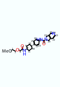 COCCOCC(=O)N[C@H]1CC[C@H](c2ccc(NC(=O)N3Cc4ccncc4C3)cc2)CC1